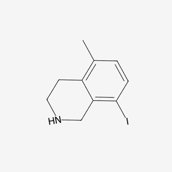 Cc1ccc(I)c2c1CCNC2